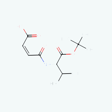 CC(C)[C@H](NC(=O)/C=C\C(=O)O)C(=O)OC(C)(C)C